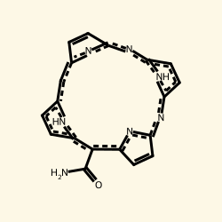 NC(=O)c1c2nc(nc3ccc(nc4nc(cc5ccc1[nH]5)C=C4)[nH]3)C=C2